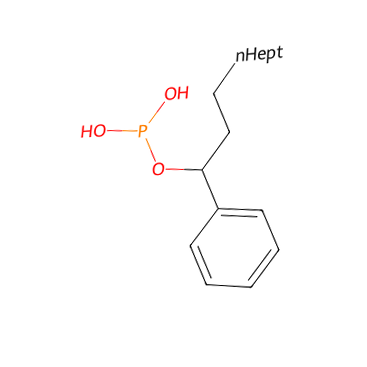 CCCCCCCCCC(OP(O)O)c1ccccc1